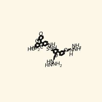 N=C(N)NCCOc1cccc(-c2ccc(CNC(=S)Nc3ccc(-c4c5ccc(=O)cc-5oc5cc(O)ccc45)c(C(=O)O)c3)cc2OCCNC(=N)N)c1